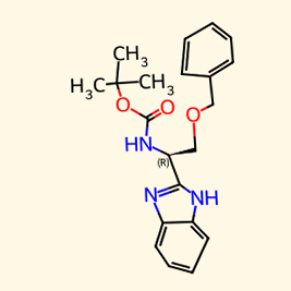 CC(C)(C)OC(=O)N[C@@H](COCc1ccccc1)c1nc2ccccc2[nH]1